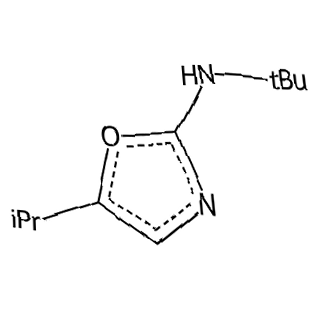 CC(C)c1cnc(NC(C)(C)C)o1